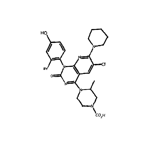 CC(C)c1cc(O)ccc1-n1c(=O)nc(N2CCN(C(=O)O)CC2C)c2cc(Cl)c(N3CCCCC3)nc21